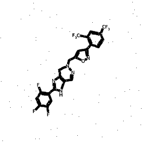 Fc1cc(F)c(-c2nc3c([nH]2)C=NN(Cc2cc(-c4ccc(C(F)(F)F)cc4C(F)(F)F)no2)C3)cc1F